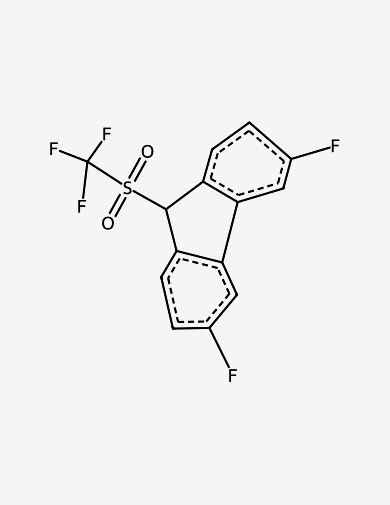 O=S(=O)(C1c2ccc(F)cc2-c2cc(F)ccc21)C(F)(F)F